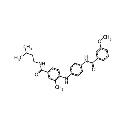 COc1cccc(C(=O)Nc2ccc(Nc3ccc(C(=O)NCCC(C)C)cc3C)cc2)c1